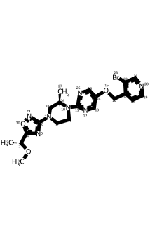 CO[C@H](C)c1nc(N2CCN(c3ncc(OCc4ccncc4Br)cn3)[C@H](C)C2)no1